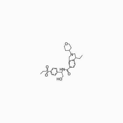 CCC1CN(C2CCOCC2)Cc2cc(C(=O)NC(CO)c3ccc(S(=O)(=O)CC)cc3)ccc21